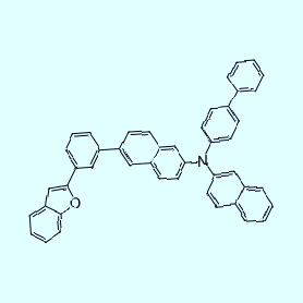 c1ccc(-c2ccc(N(c3ccc4ccccc4c3)c3ccc4cc(-c5cccc(-c6cc7ccccc7o6)c5)ccc4c3)cc2)cc1